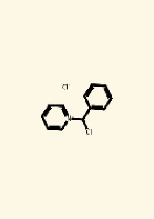 ClC(c1ccccc1)[n+]1ccccc1.[Cl-]